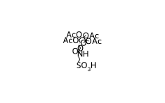 CC(=O)O[C@H]1O[C@H](COC(=O)NCCCS(=O)(=O)O)[C@@H](OC(C)=O)[C@H](OC(C)=O)[C@H]1OC(C)=O